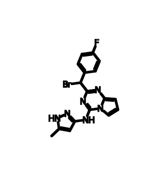 Cc1cc(Nc2nc(C(Br)c3ccc(F)cc3)nc3cccn23)n[nH]1